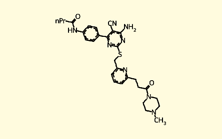 CCCC(=O)Nc1ccc(-c2nc(SCc3cccc(CCC(=O)N4CCN(C)CC4)n3)nc(N)c2C#N)cc1